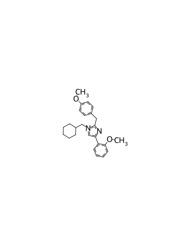 COc1ccc(Cc2nc(-c3ccccc3OC)cn2CC2CCCCC2)cc1